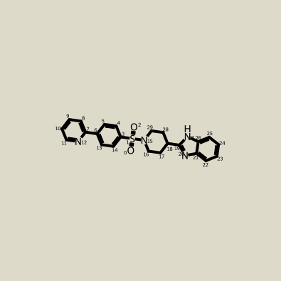 O=S(=O)(c1ccc(-c2ccccn2)cc1)N1CCC(c2nc3ccccc3[nH]2)CC1